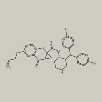 C=CCOc1ccc2c(c1)C(=O)C1CC1(C(=O)NN1CCNCC1C(c1ccc(F)cc1)c1ccc(F)cc1)O2